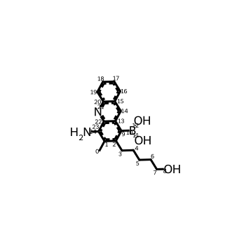 Cc1c(CCCCCO)c(B(O)O)c2cc3ccccc3nc2c1N